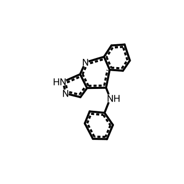 c1ccc(Nc2c3ccccc3nc3[nH]ncc23)cc1